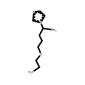 CCCOCCCC(N)n1ccnc1